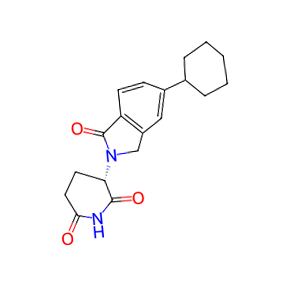 O=C1CC[C@H](N2Cc3cc(C4CCCCC4)ccc3C2=O)C(=O)N1